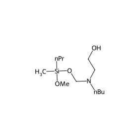 CCCCN(CCO)CO[Si](C)(CCC)OC